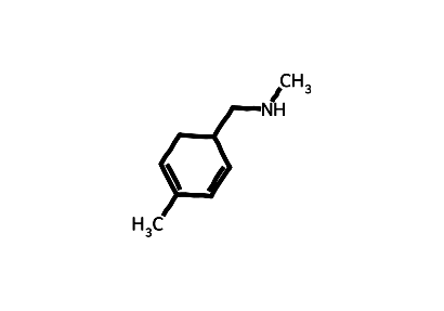 CNCC1C=CC(C)=CC1